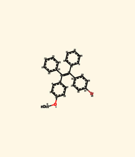 CCCCCCCCOc1ccc(C(=C(c2ccccc2)c2ccc(Br)cc2)c2ccccc2)cc1